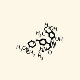 CCNC(=O)c1nnn(-c2cc(C(C)C)c(O)cc2O)c1-c1ccc(CN2CCC(N(C)C)CC2)cc1